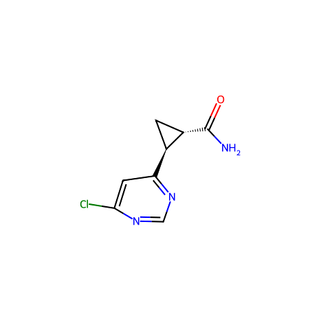 NC(=O)[C@H]1C[C@@H]1c1cc(Cl)ncn1